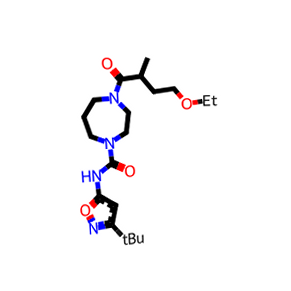 CCOCCC(C)C(=O)N1CCCN(C(=O)Nc2cc(C(C)(C)C)no2)CC1